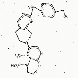 Cc1c(N2CCc3cnc(Nc4ccc(CO)cc4)nc3C2)cnc2c1N(C(=O)O)CCO2